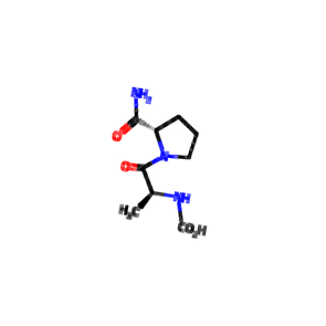 C[C@H](NC(=O)O)C(=O)N1CCC[C@H]1C(N)=O